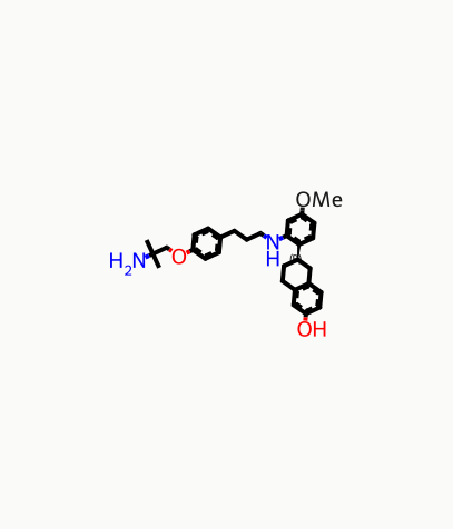 COc1ccc([C@@H]2CCc3cc(O)ccc3C2)c(NCCCc2ccc(OCC(C)(C)N)cc2)c1